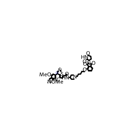 COc1cc(/C(=C/N(C)C)c2sc(C(=O)NC3CCN(CCCCCOc4cccc5c4C(=O)N(C4CCC(=O)NC4=O)C5=O)CC3)cc2C=O)cc(OC)c1CN(C)C